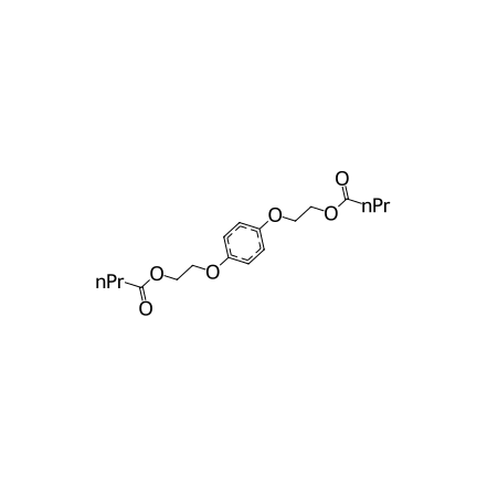 CCCC(=O)OCCOc1ccc(OCCOC(=O)CCC)cc1